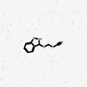 N#CSCSC1NSc2ccccc21